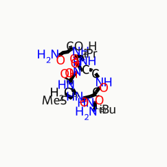 C=C1N[C@@H](CO)C(=O)NC(C(=O)N[C@H](C(=O)NC(CCC(N)=O)C(=O)O)C(C)C)CCCCNC(=O)CCC(NC(=O)C(N)[C@@H](C)CC)C(=O)N[C@H]1CCSC